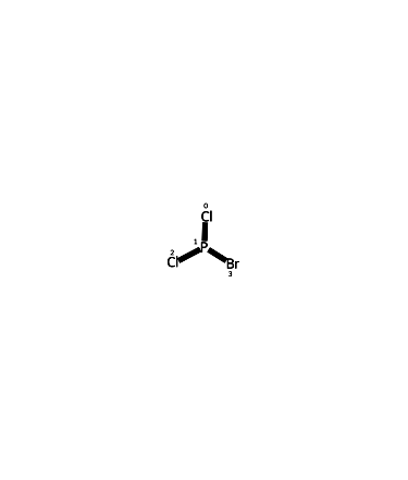 ClP(Cl)Br